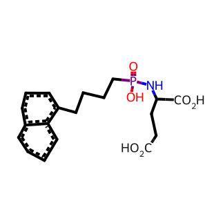 O=C(O)CCC(NP(=O)(O)CCCCc1cccc2ccccc12)C(=O)O